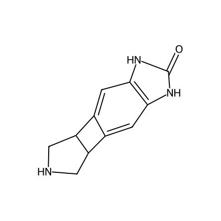 O=c1[nH]c2cc3c(cc2[nH]1)C1CNCC31